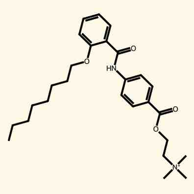 CCCCCCCCOc1ccccc1C(=O)Nc1ccc(C(=O)OCC[N+](C)(C)C)cc1